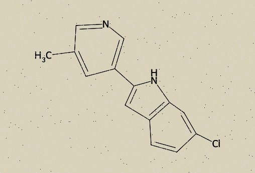 Cc1cncc(-c2cc3ccc(Cl)cc3[nH]2)c1